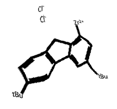 CC(C)(C)c1ccc2c(c1)-c1cc(C(C)(C)C)c[c]([Zr+2])c1C2.[Cl-].[Cl-]